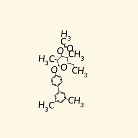 CCC1OC(Oc2ccc(-c3cc(C)cc(C)c3)cc2)C(C)C(OC(C)=O)C1C